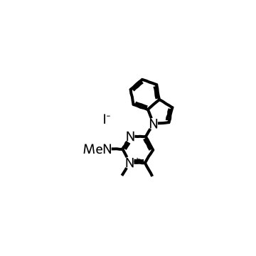 CNc1nc(-n2ccc3ccccc32)cc(C)[n+]1C.[I-]